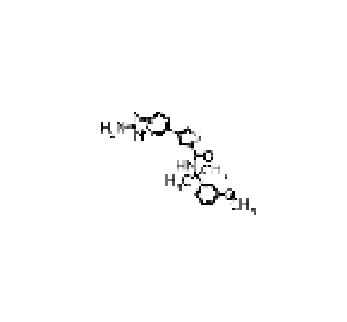 COc1cccc(C(C)(C)NC(=O)c2cc(-c3ccc4nc(N)nn4c3)cs2)c1